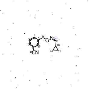 N#Cc1cccc(CO/N=[C]\C2CC2)c1